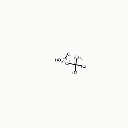 CC(Cl)(Cl)Cl.O=C(O)Cl